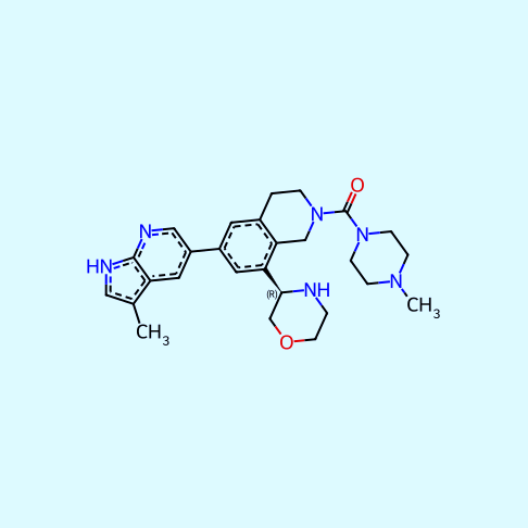 Cc1c[nH]c2ncc(-c3cc4c(c([C@@H]5COCCN5)c3)CN(C(=O)N3CCN(C)CC3)CC4)cc12